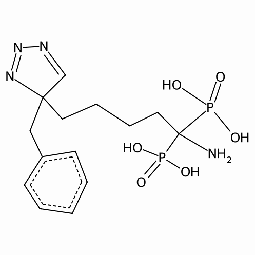 NC(CCCCC1(Cc2ccccc2)C=NN=N1)(P(=O)(O)O)P(=O)(O)O